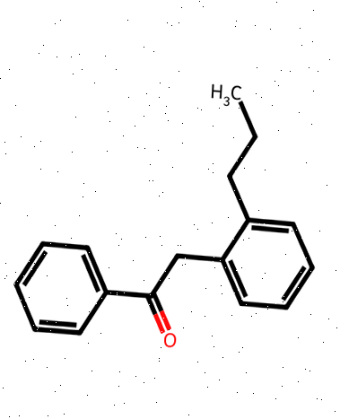 CCCc1ccccc1CC(=O)c1ccccc1